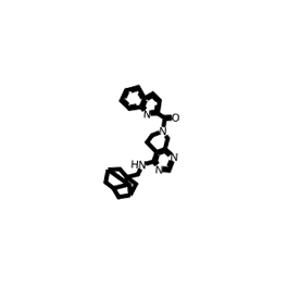 O=C(c1ccc2ccccc2n1)N1CCc2c(ncnc2NCC23CC4CC(CC(C4)C2)C3)C1